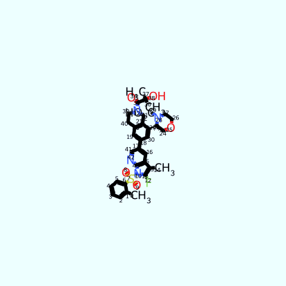 Cc1ccccc1S(=O)(=O)n1c(F)c(C)c2cc(-c3cc4c(c([C@@H]5COCCN5C(=O)O)c3)CN(C(=O)C(C)(C)O)CC4)cnc21